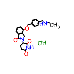 CCNCc1ccc(COc2cccc3c2CN(C2CCC(=O)NC2=O)C3=O)cc1.Cl